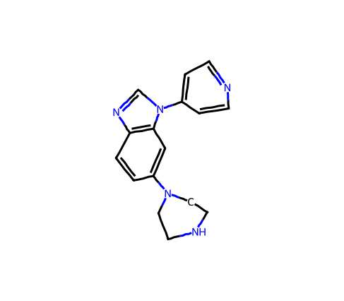 c1cc(-n2cnc3ccc(N4CCNCC4)cc32)ccn1